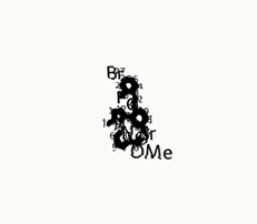 COC(=O)c1cccc(-n2c(C)ccc2-c2cc(Br)ccc2OCc2ccc(Br)cc2F)n1